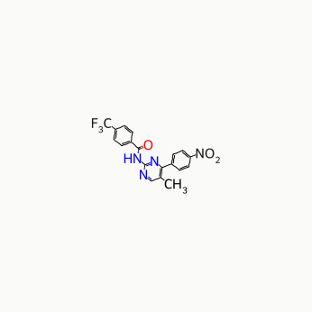 Cc1cnc(NC(=O)c2ccc(C(F)(F)F)cc2)nc1-c1ccc([N+](=O)[O-])cc1